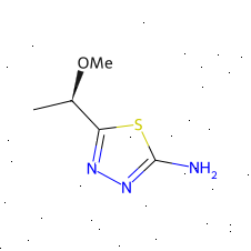 CO[C@H](C)c1nnc(N)s1